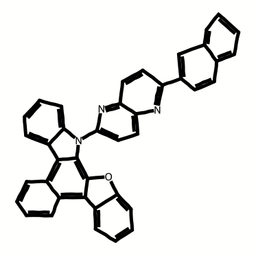 c1ccc2cc(-c3ccc4nc(-n5c6ccccc6c6c7ccccc7c7c8ccccc8oc7c65)ccc4n3)ccc2c1